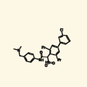 CC(C)c1cc(-c2cccc(Cl)c2)cc(C(C)C)c1C(C(=O)Nc1ccc(CN(C)C)cc1)[SH](=O)=O